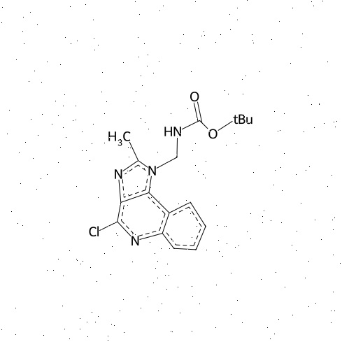 Cc1nc2c(Cl)nc3ccccc3c2n1CNC(=O)OC(C)(C)C